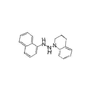 c1ccc2c(c1)CCCN2NNc1cccc2ccccc12